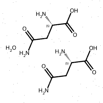 NC(=O)C[C@H](N)C(=O)O.NC(=O)C[C@H](N)C(=O)O.O